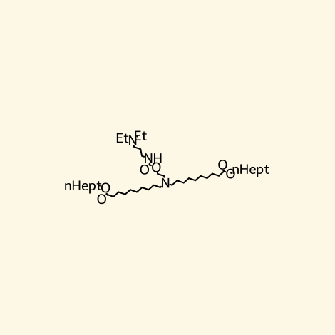 CCCCCCCOC(=O)CCCCCCCCCN(CCCCCCCCCC(=O)OCCCCCCC)CCOC(=O)NCCCN(CC)CC